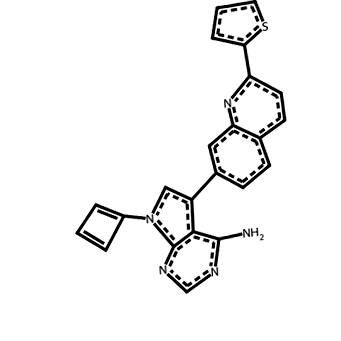 Nc1ncnc2c1c(-c1ccc3ccc(-c4cccs4)nc3c1)cn2C1=CC=C1